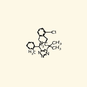 Cc1ccccc1C(c1nnnn1C(C)(C)C)N1CCc2c(Cl)cccc2C1